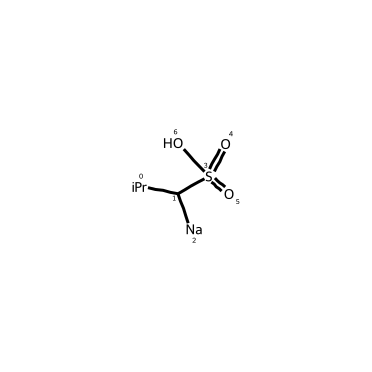 CC(C)[CH]([Na])S(=O)(=O)O